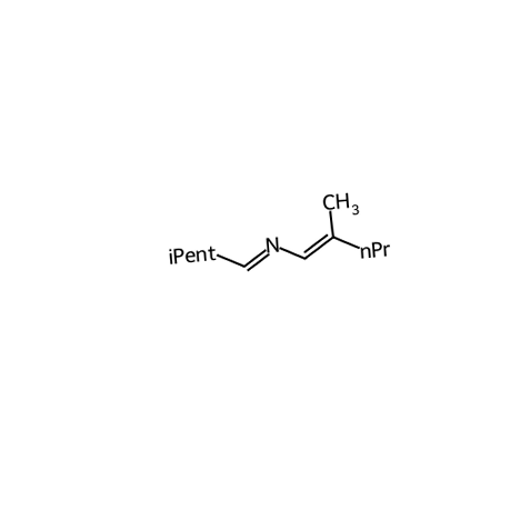 CCCC(C)=CN=CC(C)CCC